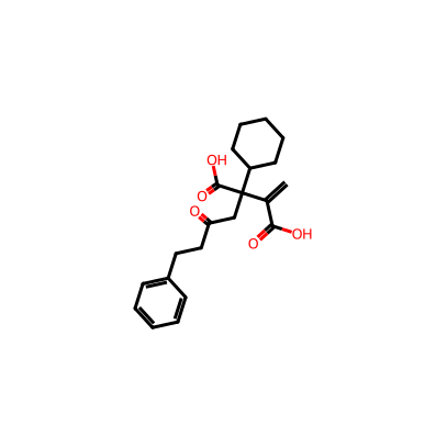 C=C(C(=O)O)C(CC(=O)CCc1ccccc1)(C(=O)O)C1CCCCC1